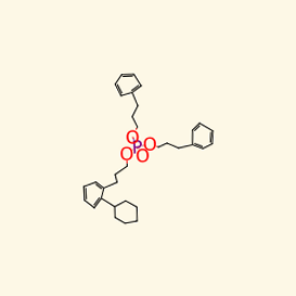 O=P(OCCCc1ccccc1)(OCCCc1ccccc1)OCCCc1ccccc1C1CCCCC1